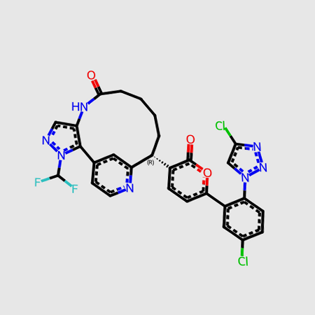 O=C1CCCC[C@H](c2ccc(-c3cc(Cl)ccc3-n3cc(Cl)nn3)oc2=O)c2cc(ccn2)-c2c(cnn2C(F)F)N1